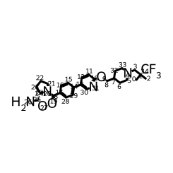 CC(C)(CN1CCC(COc2ccc(-c3ccc(C(=O)N4CCC[C@H]4C(N)=O)cc3)cn2)CC1)C(F)(F)F